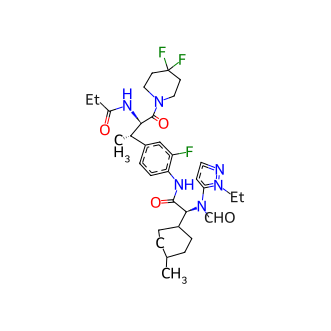 CCC(=O)N[C@@H](C(=O)N1CCC(F)(F)CC1)[C@@H](C)c1ccc(NC(=O)[C@H](C2CCC(C)CC2)N(C=O)c2ccnn2CC)c(F)c1